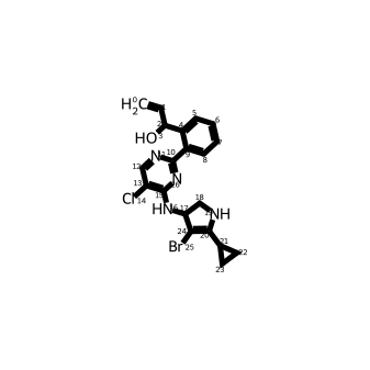 C=CC(O)c1ccccc1-c1ncc(Cl)c(NC2CNC(C3CC3)=C2Br)n1